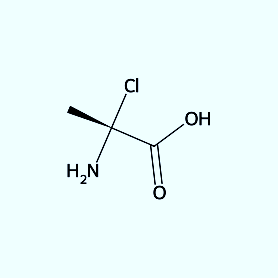 C[C@@](N)(Cl)C(=O)O